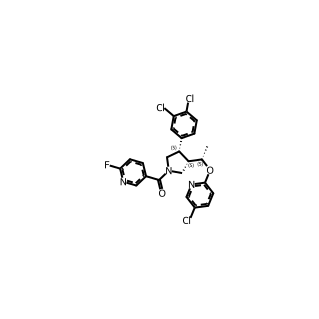 C[C@H](Oc1ccc(Cl)cn1)[C@@H]1CN(C(=O)c2ccc(F)nc2)C[C@@H]1c1ccc(Cl)c(Cl)c1